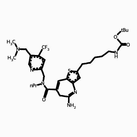 CCCN(Cc1cc(C(F)(F)F)c(CN(C)C)cn1)C(=O)C1=Cc2sc(CCCCCNC(=O)OC(C)(C)C)cc2N=C(N)C1